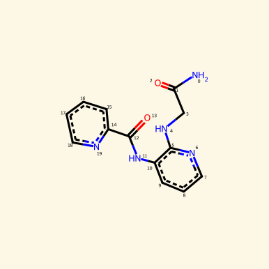 NC(=O)CNc1ncccc1NC(=O)c1ccccn1